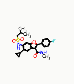 CNC(=O)c1c(-c2ccc(F)cc2)oc2cc(NS(=O)(=O)CC(C)C)c(C3CC3)cc12